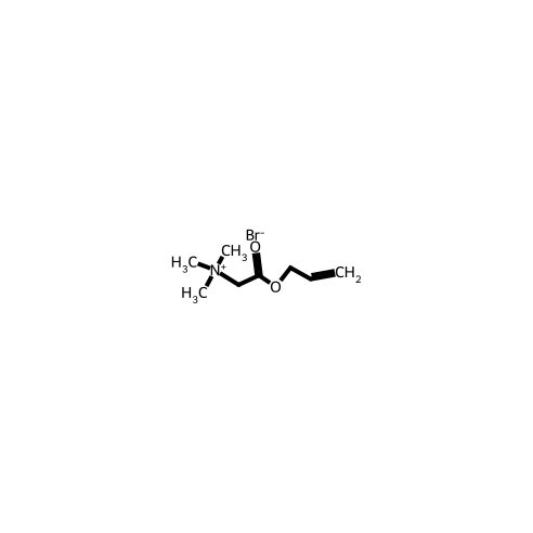 C=CCOC(=O)C[N+](C)(C)C.[Br-]